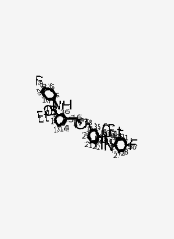 CCOB(Nc1ccc(F)cc1)c1cccc(COCc2cccc(B(Nc3ccc(F)cc3)OCC)c2)c1